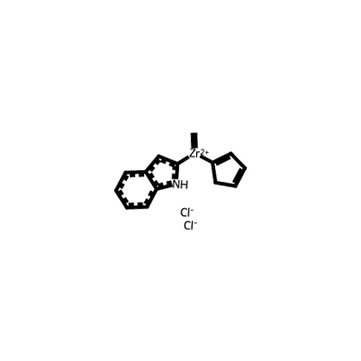 [CH2]=[Zr+2]([C]1=CC=CC1)[c]1cc2ccccc2[nH]1.[Cl-].[Cl-]